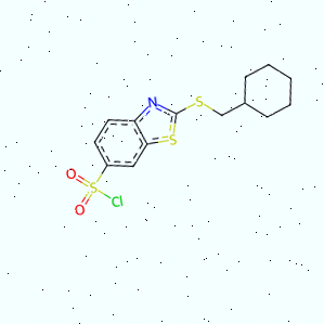 O=S(=O)(Cl)c1ccc2nc(SCC3CCCCC3)sc2c1